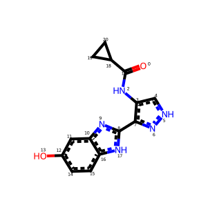 O=C(Nc1c[nH]nc1-c1nc2cc(O)ccc2[nH]1)C1CC1